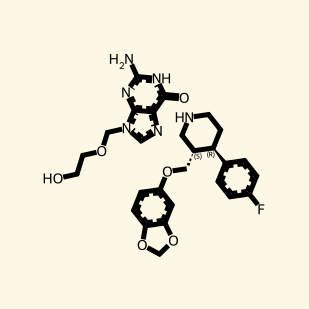 Fc1ccc([C@@H]2CCNC[C@H]2COc2ccc3c(c2)OCO3)cc1.Nc1nc2c(ncn2COCCO)c(=O)[nH]1